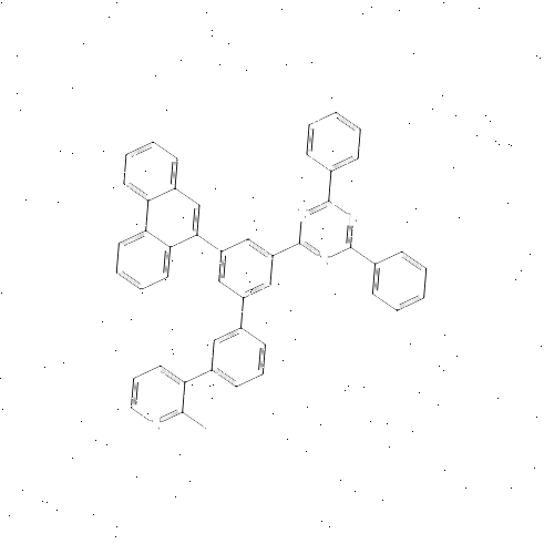 Cc1ncccc1-c1cccc(-c2cc(-c3nc(-c4ccccc4)nc(-c4ccccc4)n3)cc(-c3cc4ccccc4c4ccccc34)c2)c1